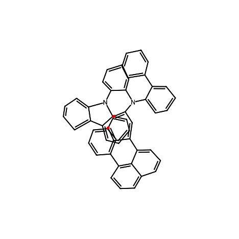 c1ccc(-c2ccccc2N(c2cccc(-c3cccc4cccc(-c5ccccc5)c34)c2)c2ccccc2-n2c3ccccc3c3ccccc32)cc1